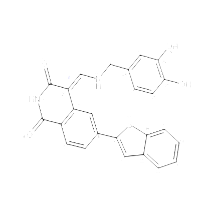 O=C1NC(=O)c2ccc(-c3cc4ccccc4s3)cc2/C1=C\NCc1ccc(O)c(O)c1